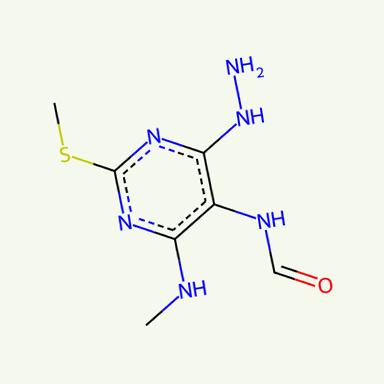 CNc1nc(SC)nc(NN)c1NC=O